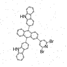 Brc1cc(-c2ccc3c(-c4ccc5c(c4)[nH]c4ccccc45)c4ccccc4c(-c4ccc5c(c4)[nH]c4ccccc45)c3c2)cc(Br)n1